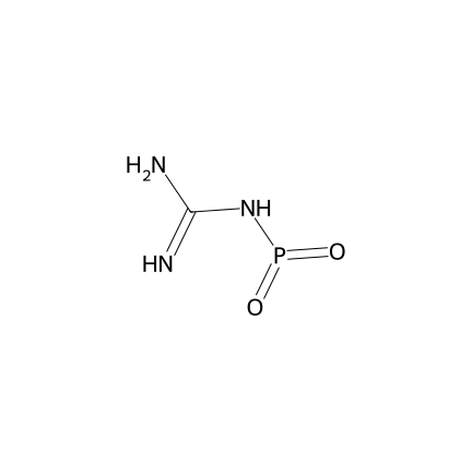 N=C(N)NP(=O)=O